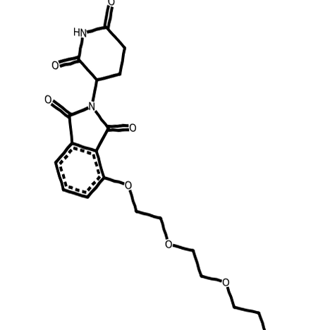 CC(=O)NCCOCCOCCOc1cccc2c1C(=O)N(C1CCC(=O)NC1=O)C2=O